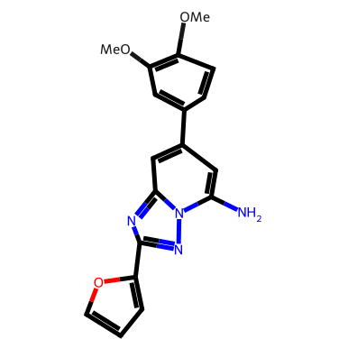 COc1ccc(-c2cc(N)n3nc(-c4ccco4)nc3c2)cc1OC